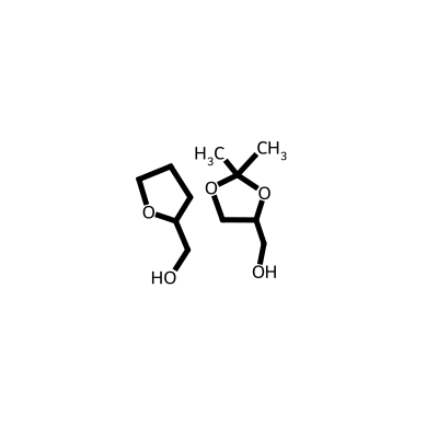 CC1(C)OCC(CO)O1.OCC1CCCO1